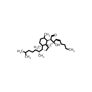 CCCC/C=C\[C@@](C)(O)[C@H](C=O)C1C(C)CC[C@@]2(C)C1CC[C@@H]2[C@H](C)CCCC(C)C